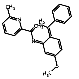 C=C(/N=C1/C=C(SC)C=C/C1=C(/N)c1ccccc1)c1cccc(C)n1